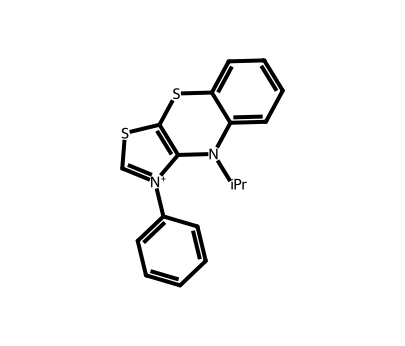 CC(C)N1c2ccccc2Sc2sc[n+](-c3ccccc3)c21